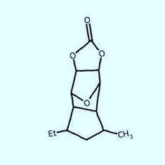 CCC1CC(C)C2C3OC(C4OC(=O)OC43)C12